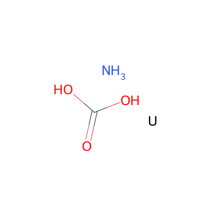 N.O=C(O)O.[U]